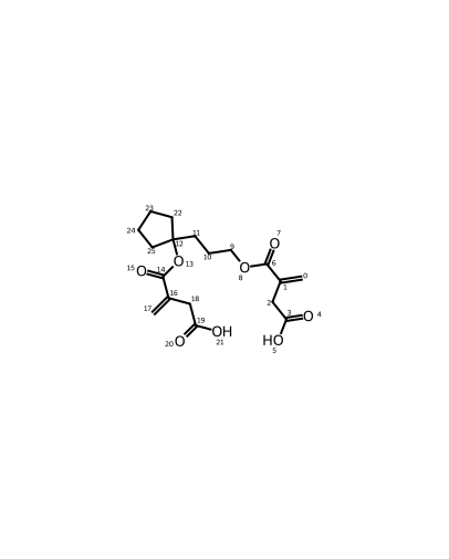 C=C(CC(=O)O)C(=O)OCCCC1(OC(=O)C(=C)CC(=O)O)CCCC1